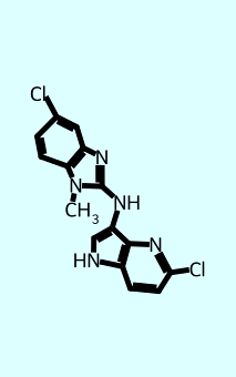 Cn1c(Nc2c[nH]c3ccc(Cl)nc23)nc2cc(Cl)ccc21